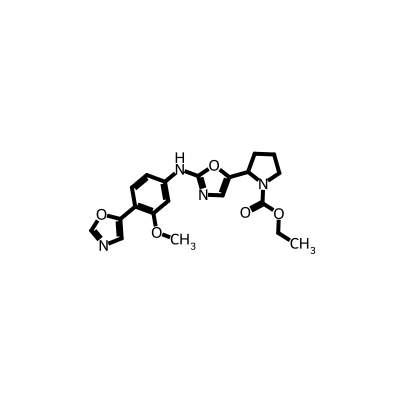 CCOC(=O)N1CCCC1c1cnc(Nc2ccc(-c3cnco3)c(OC)c2)o1